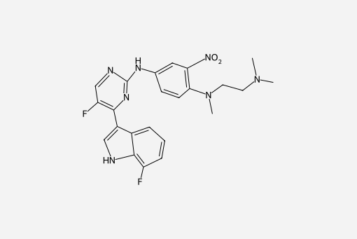 CN(C)CCN(C)c1ccc(Nc2ncc(F)c(-c3c[nH]c4c(F)cccc34)n2)cc1[N+](=O)[O-]